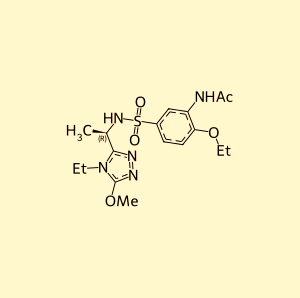 CCOc1ccc(S(=O)(=O)N[C@H](C)c2nnc(OC)n2CC)cc1NC(C)=O